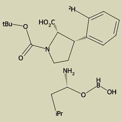 CC(C)C[C@H](N)OBO.[2H]c1ccccc1[C@@H]1CCN(C(=O)OC(C)(C)C)[C@@H]1C(=O)O